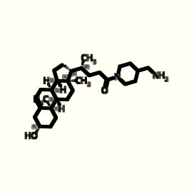 C[C@H](CCC(=O)N1CCC(CN)CC1)[C@H]1CC[C@H]2[C@@H]3CC=C4C[C@@H](O)CC[C@]4(C)[C@H]3CC[C@]12C